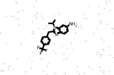 CC(C)n1c(Cc2ccc(C(F)(F)F)cc2)nc2ccc(N)cc21